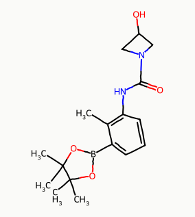 Cc1c(NC(=O)N2CC(O)C2)cccc1B1OC(C)(C)C(C)(C)O1